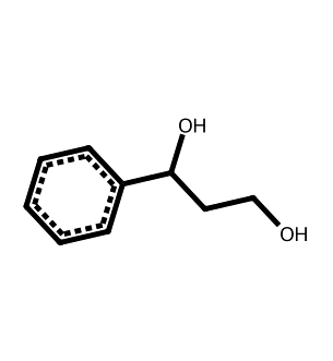 OCCC(O)c1ccccc1